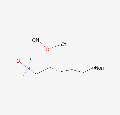 CCCCCCCCCCCCCC[N+](C)(C)[O-].CCON=O